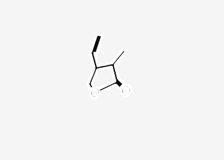 C=CC1COC(=O)C1C